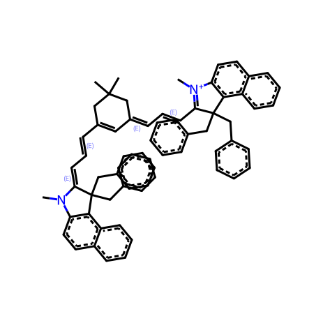 CN1/C(=C/C=C/C2=CC(=C/C=C/C3=[N+](C)c4ccc5ccccc5c4C3(Cc3ccccc3)Cc3ccccc3)/CC(C)(C)C2)C(Cc2ccccc2)(Cc2ccccc2)c2c1ccc1ccccc21